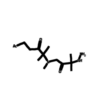 CC(=O)CCC(=O)C(C)(C)N(C)CC(=O)C(C)(C)NN